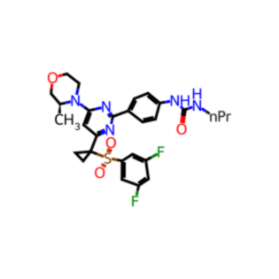 CCCNC(=O)Nc1ccc(-c2nc(N3CCOC[C@@H]3C)cc(C3(S(=O)(=O)c4cc(F)cc(F)c4)CC3)n2)cc1